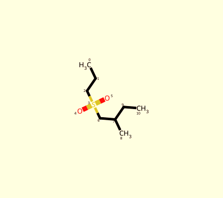 CCCS(=O)(=O)CC(C)CC